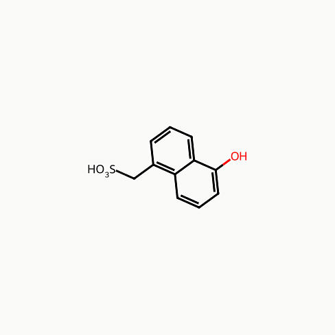 O=S(=O)(O)Cc1cccc2c(O)cccc12